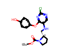 CC(C)(C)OC(=O)N1CCC[C@H]1CNc1cnc(Cl)nc1Oc1ccc(O)cc1